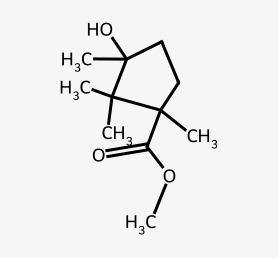 COC(=O)C1(C)CCC(C)(O)C1(C)C